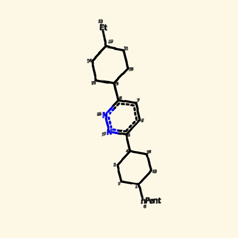 CCCCCC1CCC(c2ccc(C3CCC(CC)CC3)nn2)CC1